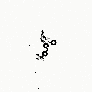 C=CCN1CCN(c2ccc(Cc3ccc(C(=O)N(CC)CC)cc3)cc2NC2CCCCC2)CC1